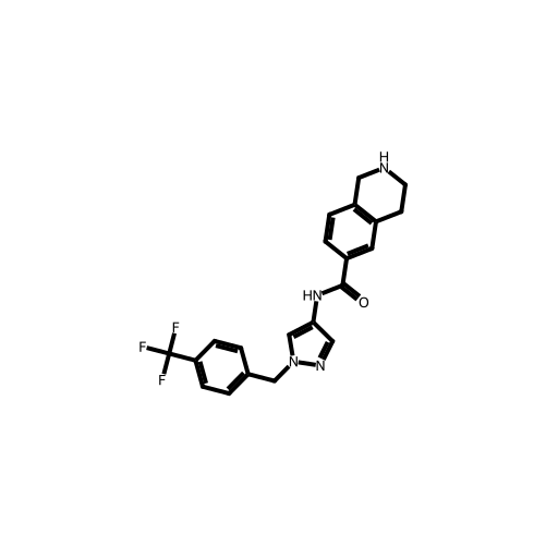 O=C(Nc1cnn(Cc2ccc(C(F)(F)F)cc2)c1)c1ccc2c(c1)CCNC2